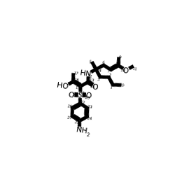 CCCCC(C)(C/C=C(\C)OC)NC(=O)/C(=C(\C)O)S(=O)(=O)c1ccc(N)cc1